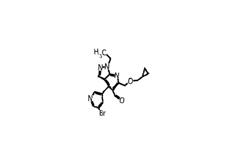 CCn1ncc2c(-c3cncc(Br)c3)c(C=O)c(COCC3CC3)nc21